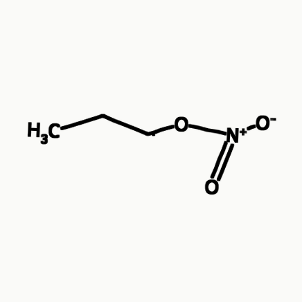 CC[CH]O[N+](=O)[O-]